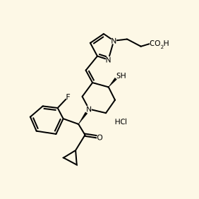 Cl.O=C(O)CCn1ccc(/C=C2/CN([C@@H](C(=O)C3CC3)c3ccccc3F)CC[C@@H]2S)n1